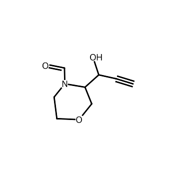 C#CC(O)C1COCCN1C=O